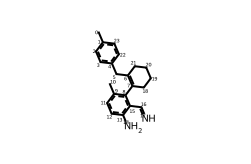 Cc1ccc(CC2=C(c3c(C)ccc(N)c3C=N)CCCC2)cc1